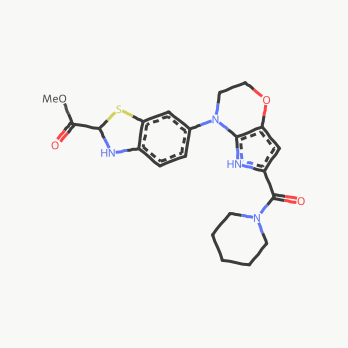 COC(=O)C1Nc2ccc(N3CCOc4cc(C(=O)N5CCCCC5)[nH]c43)cc2S1